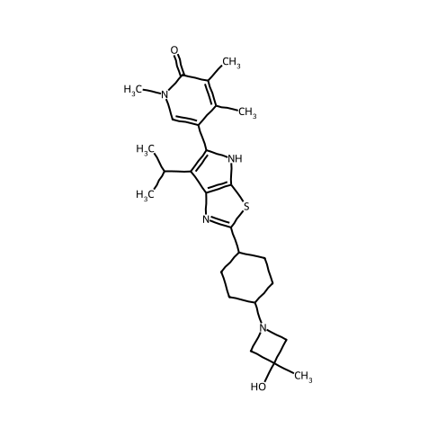 Cc1c(-c2[nH]c3sc(C4CCC(N5CC(C)(O)C5)CC4)nc3c2C(C)C)cn(C)c(=O)c1C